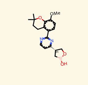 COc1ccc(-c2nccc([C@@H]3COB(O)C3)n2)c2c1OC(C)(C)CC2